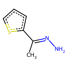 CC(=NN)c1cccs1